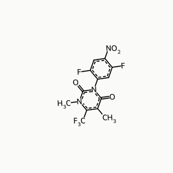 Cc1c(C(F)(F)F)n(C)c(=O)n(-c2cc(F)c([N+](=O)[O-])cc2F)c1=O